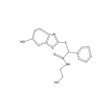 O=C(NCCO)C(Sc1nc2ccc(O)cc2s1)c1ccccc1